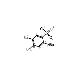 CCC(C)c1cc(S(=O)(=O)Cl)c(C(C)CC)cc1Br